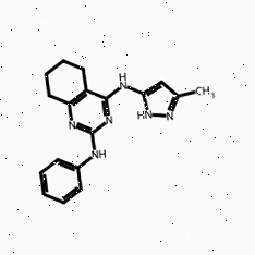 Cc1cc(Nc2nc(Nc3ccccc3)nc3c2CCCC3)[nH]n1